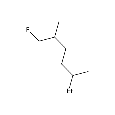 CCC(C)CCC(C)CF